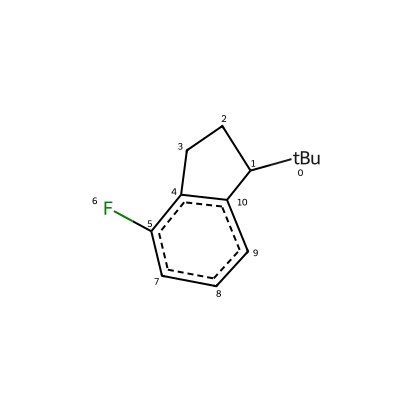 CC(C)(C)C1CCc2c(F)cccc21